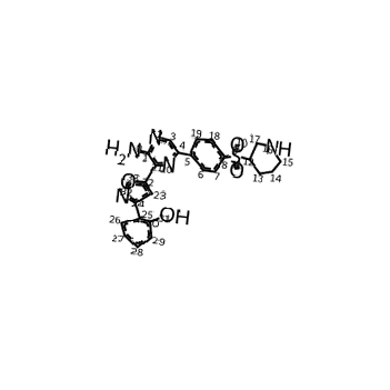 Nc1ncc(-c2ccc(S(=O)(=O)C3CCCNC3)cc2)nc1-c1cc(-c2ccccc2O)no1